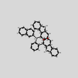 c1ccc(N(c2ccc3ccccc3c2)c2cccc3sc4ccccc4c23)c(-c2cccc3c2sc2ccccc23)c1